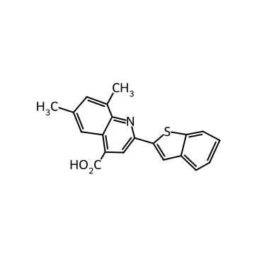 Cc1cc(C)c2nc(-c3cc4ccccc4s3)cc(C(=O)O)c2c1